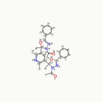 CC(=O)N1N=C(c2ccccc2)OC1(C)c1cc(C2(C)OC(c3ccccc3)=NN2C(C)=O)c(C)nc1C